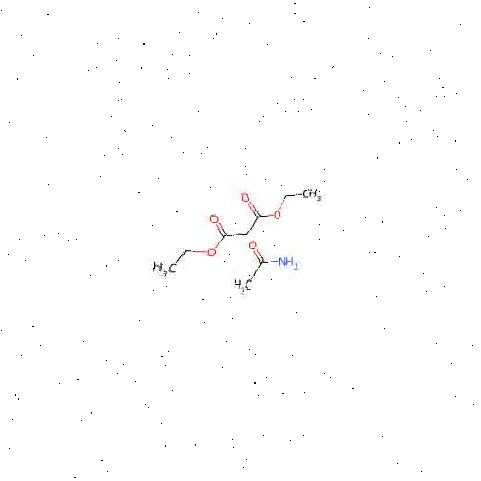 CC(N)=O.CCOC(=O)CC(=O)OCC